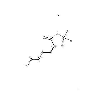 CO/C=C/C[C@@H]1OC(C)(C)OC1=O